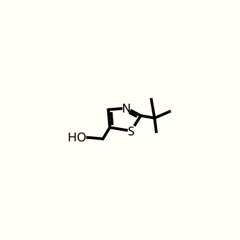 CC(C)(C)c1ncc(CO)s1